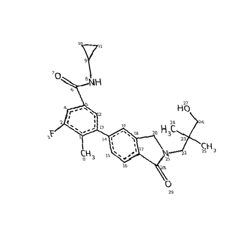 Cc1c(F)cc(C(=O)NC2CC2)cc1-c1ccc2c(c1)CN(CC(C)(C)CO)C2=O